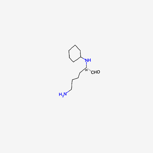 NCCCC[C@@H](C=O)NC1CCCCC1